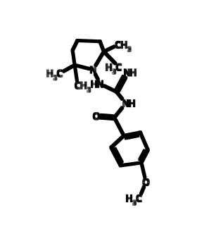 COc1ccc(C(=O)NC(=N)NN2C(C)(C)CCCC2(C)C)cc1